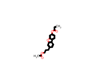 C=CC(=O)Oc1ccc2c(c1)oc1cc(CCCOC(C)=O)ccc12